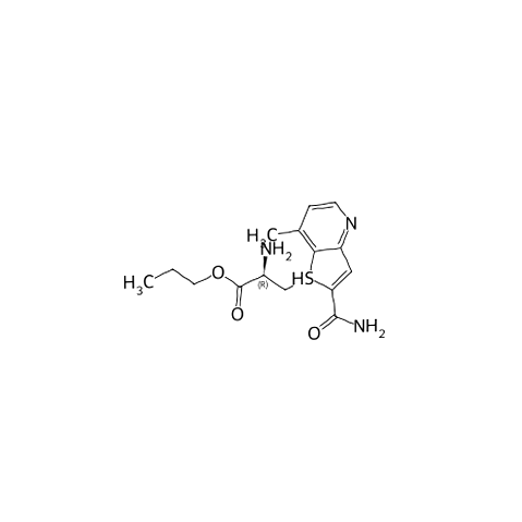 CCCOC(=O)[C@@H](N)C[SH]1C(C(N)=O)=Cc2nccc(C)c21